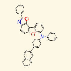 c1ccc(-c2nc3ccc4oc5c(N(c6ccccc6)c6ccc(-c7ccc8ccccc8c7)cc6)cccc5c4c3o2)cc1